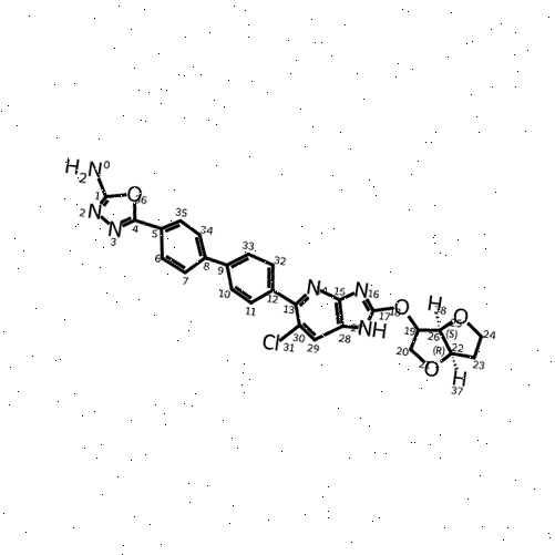 Nc1nnc(-c2ccc(-c3ccc(-c4nc5nc(OC6CO[C@@H]7CCO[C@H]67)[nH]c5cc4Cl)cc3)cc2)o1